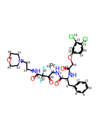 CC(C)[C@H](NC(=O)C(Cc1ccccc1)NC(=O)COc1ccc(Cl)c(Cl)c1)C(=O)C(F)(F)C(=O)NCCN1CCOCC1